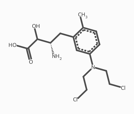 Cc1ccc(N(CCCl)CCCl)cc1C[C@H](N)C(O)C(=O)O